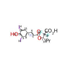 CC(C)C(OC(=O)/C=C/c1cc(I)c(O)c(I)c1)C(F)(F)C(=O)O